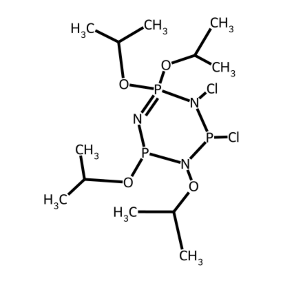 CC(C)ON1P(OC(C)C)N=P(OC(C)C)(OC(C)C)N(Cl)P1Cl